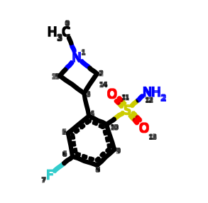 CN1CC(c2cc(F)ccc2S(N)(=O)=O)C1